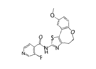 COc1ccc2c(c1)-c1sc(NC(=O)c3ccncc3F)nc1CCO2